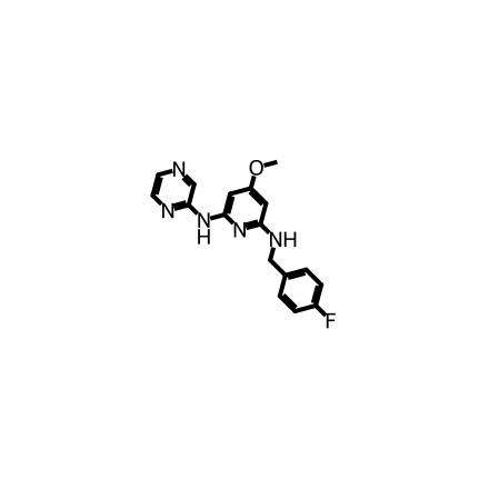 COc1cc(NCc2ccc(F)cc2)nc(Nc2cnccn2)c1